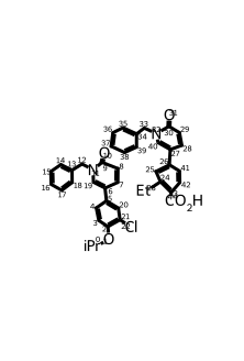 CC(C)Oc1ccc(-c2ccc(=O)n(Cc3ccccc3)c2)cc1Cl.CCc1cc(-c2ccc(=O)n(Cc3ccccc3)c2)ccc1C(=O)O